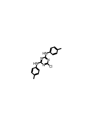 Cc1ccc(Nc2nc(Cl)nc(Nc3ccc(C)cc3)n2)cc1